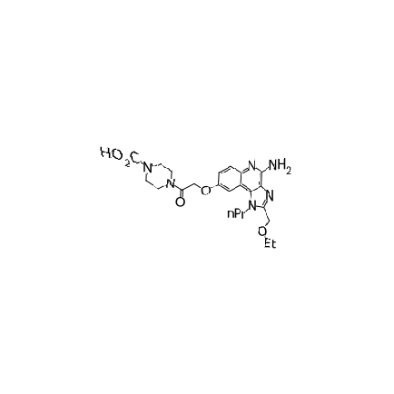 CCCn1c(COCC)nc2c(N)nc3ccc(OCC(=O)N4CCN(C(=O)O)CC4)cc3c21